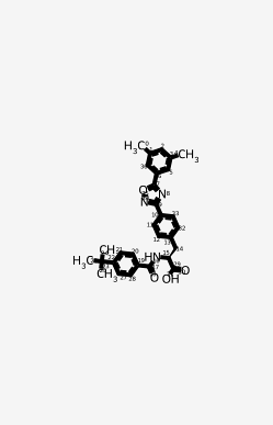 Cc1cc(C)cc(-c2nc(-c3ccc(C[C@H](NC(=O)c4ccc(C(C)(C)C)cc4)C(=O)O)cc3)no2)c1